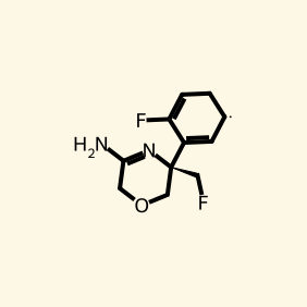 NC1=N[C@](CF)(C2=C[CH]CC=C2F)COC1